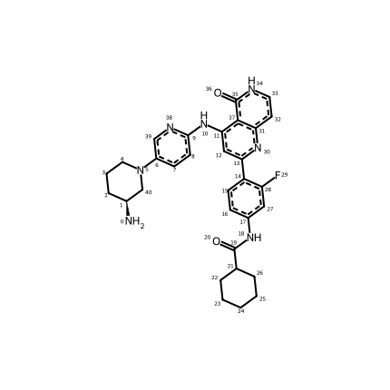 N[C@H]1CCCN(c2ccc(Nc3cc(-c4ccc(NC(=O)C5CCCCC5)cc4F)nc4cc[nH]c(=O)c34)nc2)C1